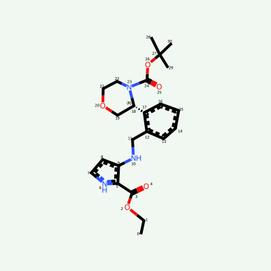 CCOC(=O)c1[nH]ccc1NCc1ccccc1[C@@H]1COCCN1C(=O)OC(C)(C)C